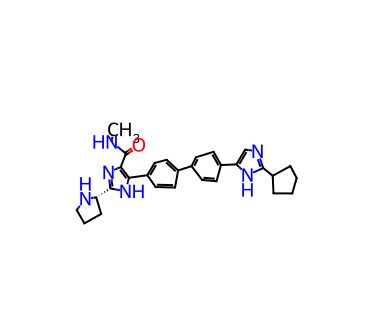 CNC(=O)c1nc([C@@H]2CCCN2)[nH]c1-c1ccc(-c2ccc(-c3cnc(C4CCCC4)[nH]3)cc2)cc1